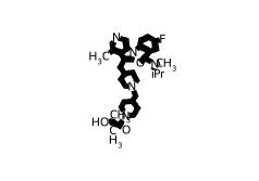 Cc1cncc2c1c(CC1CCN(CC3CCN(C(=O)C(C)(C)O)CC3)CC1)cn2-c1ccc(F)cc1C(=O)N(C)C(C)C